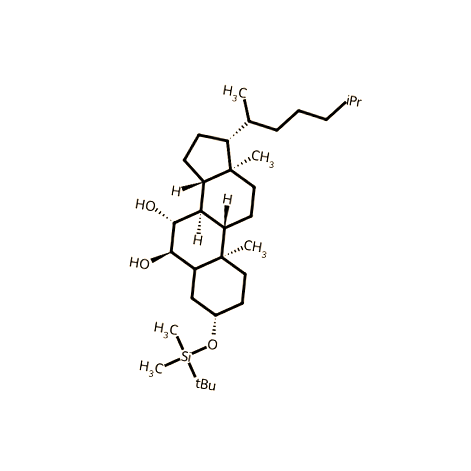 CC(C)CCCC(C)[C@H]1CC[C@H]2[C@@H]3[C@@H](O)[C@H](O)C4C[C@@H](O[Si](C)(C)C(C)(C)C)CC[C@]4(C)[C@H]3CC[C@]12C